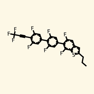 CCCc1cc2cc(F)c(-c3cc(F)c(-c4cc(F)c(C#CC(F)(F)F)c(F)c4)c(F)c3)c(F)c2s1